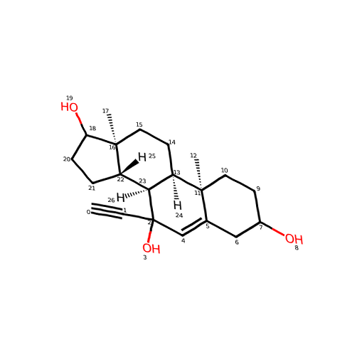 C#CC1(O)C=C2CC(O)CC[C@]2(C)[C@@H]2CC[C@]3(C)C(O)CC[C@H]3[C@@H]21